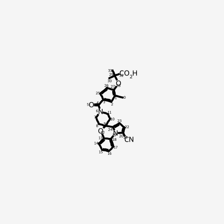 Cc1cc(C(=O)N2CCC3(CC2)Oc2ccccc2-n2c(C#N)ccc23)ccc1OC(C)(C)C(=O)O